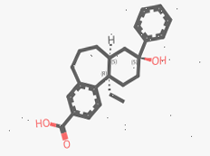 CC[C@@]12CC[C@@](O)(c3ccccc3)C[C@@H]1CCCc1cc(C(=O)O)ccc12